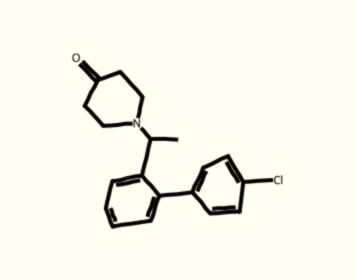 CC(c1ccccc1-c1ccc(Cl)cc1)N1CCC(=O)CC1